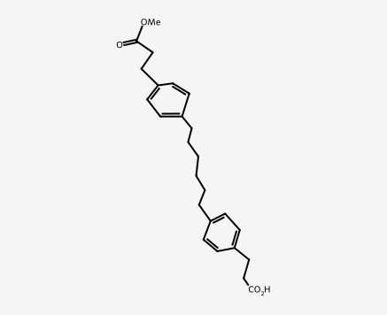 COC(=O)CCc1ccc(CCCCCCc2ccc(CCC(=O)O)cc2)cc1